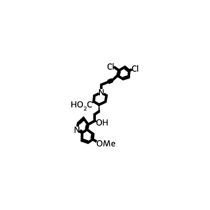 COc1ccc2nccc([C@H](O)CC[C@@H]3CCN(CC#Cc4ccc(Cl)cc4Cl)C[C@@H]3C(=O)O)c2c1